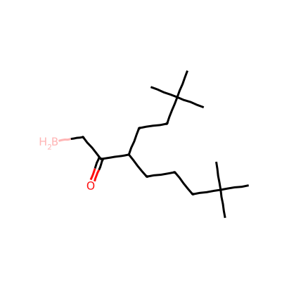 BCC(=O)C(CCCC(C)(C)C)CCC(C)(C)C